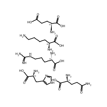 N=C(N)NCCC[C@H](N)C(=O)O.NC(=O)CC[C@H](N)C(=O)O.NCCCC[C@H](N)C(=O)O.N[C@@H](CCC(=O)O)C(=O)O.N[C@@H](Cc1c[nH]cn1)C(=O)O